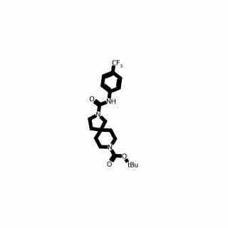 CC(C)(C)OC(=O)N1CCC2(CCN(C(=O)Nc3ccc(C(F)(F)F)cc3)C2)CC1